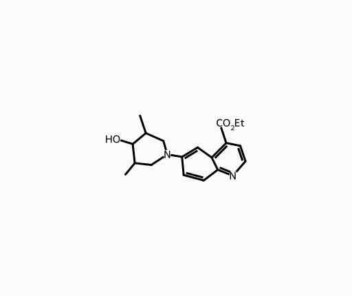 CCOC(=O)c1ccnc2ccc(N3CC(C)C(O)C(C)C3)cc12